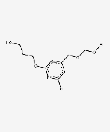 CCOCOCc1cc(Cl)nc(OCCCO)c1